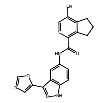 N#Cc1cnc(C(=O)Nc2ccc3[nH]nc(-c4cnco4)c3c2)c2c1CCC2